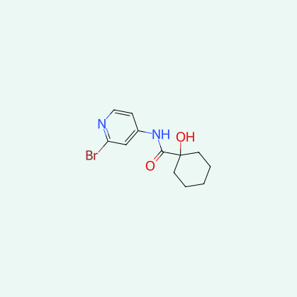 O=C(Nc1ccnc(Br)c1)C1(O)CCCCC1